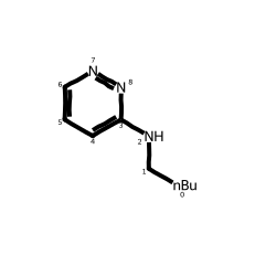 CCCCCNc1cccnn1